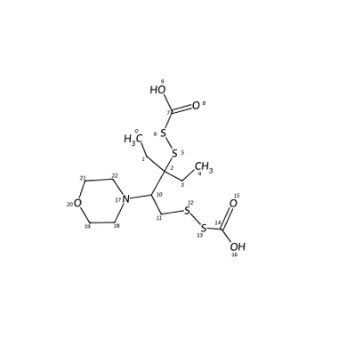 CCC(CC)(SSC(=O)O)C(CSSC(=O)O)N1CCOCC1